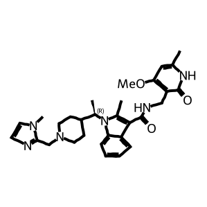 COc1cc(C)[nH]c(=O)c1CNC(=O)c1c(C)n([C@H](C)C2CCN(Cc3nccn3C)CC2)c2ccccc12